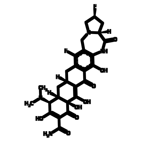 CN(C)[C@@H]1C(O)=C(C(N)=O)C(=O)[C@@]2(O)C(O)=C3C(=O)c4c(O)c5c(c(F)c4C[C@H]3C[C@@H]12)CN1C[C@@H](F)C[C@H]1C(=O)N5